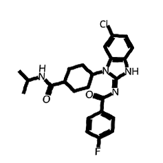 CC(C)NC(=O)C1CCC(n2/c(=N\C(=O)c3ccc(F)cc3)[nH]c3ccc(Cl)cc32)CC1